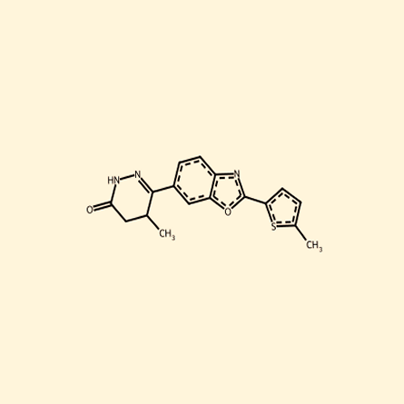 Cc1ccc(-c2nc3ccc(C4=NNC(=O)CC4C)cc3o2)s1